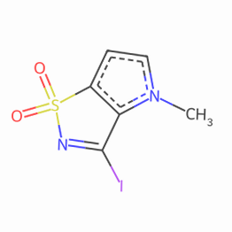 Cn1ccc2c1C(I)=NS2(=O)=O